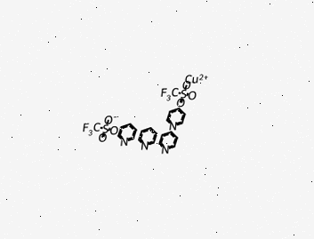 O=S(=O)([O-])C(F)(F)F.O=S(=O)([O-])C(F)(F)F.[Cu+2].c1ccncc1.c1ccncc1.c1ccncc1.c1ccncc1